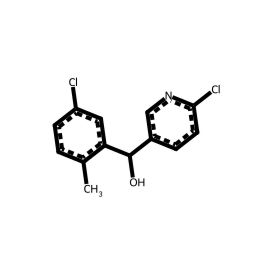 Cc1ccc(Cl)cc1C(O)c1ccc(Cl)nc1